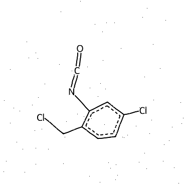 O=C=Nc1cc(Cl)ccc1CCl